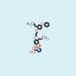 CCCc1cc(Oc2ccccc2)ccc1OCCCOc1ccc(S(=O)(=O)N2CCCC2C(=O)O)cc1CCC